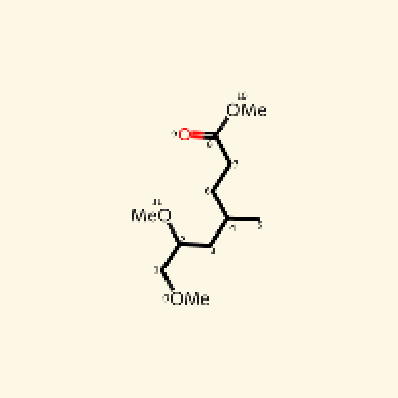 COCC(CC(C)CCC(=O)OC)OC